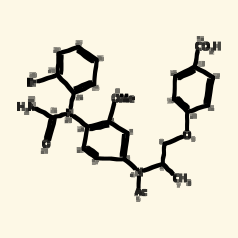 COc1cc(N(C(C)=O)C(C)COc2ccc(C(=O)O)cc2)ccc1N(C(N)=O)c1ccccc1Br